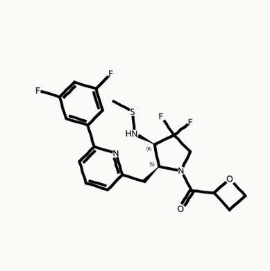 CSN[C@@H]1[C@H](Cc2cccc(-c3cc(F)cc(F)c3)n2)N(C(=O)C2CCO2)CC1(F)F